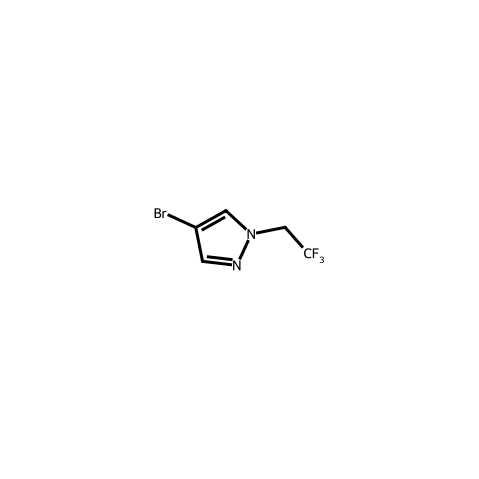 FC(F)(F)Cn1cc(Br)cn1